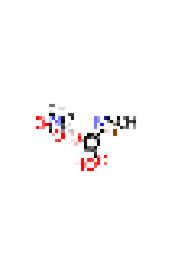 Cc1cnc(-c2cc(OC[C@H]3CN(C)C(=O)CO3)cc(C(=O)O)c2)s1